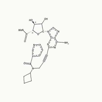 CNC(=O)[C@H]1O[C@@H](n2cnc3c(N)nc(C#CCN(C(=O)c4cccnc4)C4CCC4)nc32)C(O)[C@@H]1O